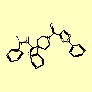 C[C@H](NC(=O)C1(c2ccccc2)CCN(C(=O)c2cnn(-c3ccccc3)n2)CC1)c1ccccc1